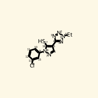 CCn1nnc(-c2cnn(-c3cccc(Cl)c3)c2S)n1